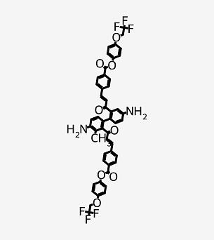 Cc1c(N)ccc(-c2ccc(N)cc2C(=O)/C=C/c2ccc(C(=O)Oc3ccc(OCC(F)(F)F)cc3)cc2)c1C(=O)/C=C/c1ccc(C(=O)Oc2ccc(OCC(F)(F)F)cc2)cc1